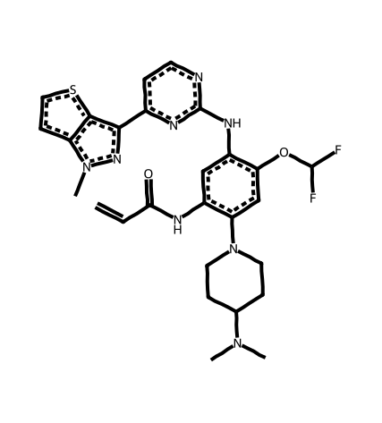 C=CC(=O)Nc1cc(Nc2nccc(-c3nn(C)c4ccsc34)n2)c(OC(F)F)cc1N1CCC(N(C)C)CC1